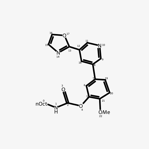 CCCCCCCCNC(=O)Oc1cc(-c2cncc(-c3ncco3)c2)ccc1OC